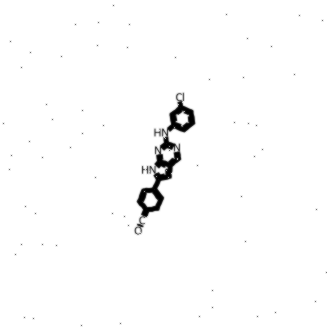 O=C=C1C=CC(c2cc3cnc(Nc4cccc(Cl)c4)nc3[nH]2)=CC1